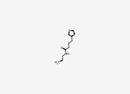 C=CCNC(=O)CCCc1ccsc1